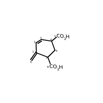 C=C1C=CC(C(=O)O)CC1C(=O)O